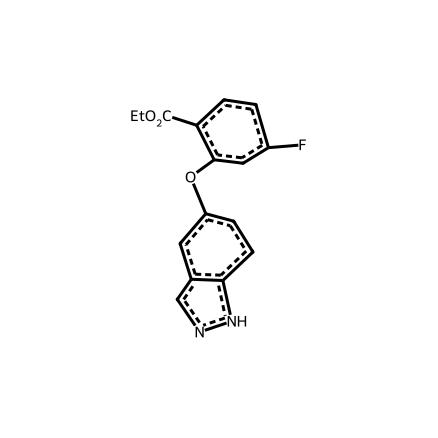 CCOC(=O)c1ccc(F)cc1Oc1ccc2[nH]ncc2c1